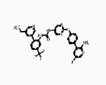 CCc1cncc(-c2ccc(C(F)(F)F)cc2NC(=O)Nc2cnc(Oc3ccc(-c4cc(F)cnc4N)cc3)nc2)c1